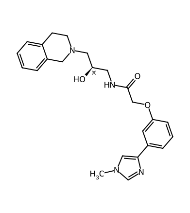 Cn1cnc(-c2cccc(OCC(=O)NC[C@@H](O)CN3CCc4ccccc4C3)c2)c1